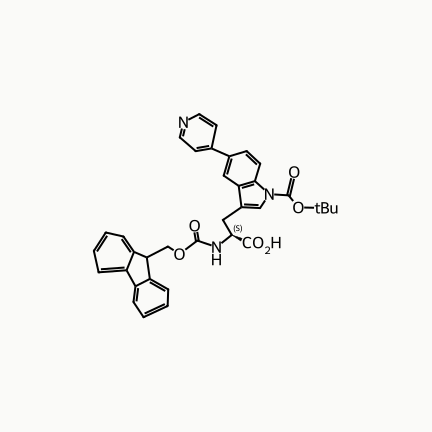 CC(C)(C)OC(=O)n1cc(C[C@H](NC(=O)OCC2c3ccccc3-c3ccccc32)C(=O)O)c2cc(-c3ccncc3)ccc21